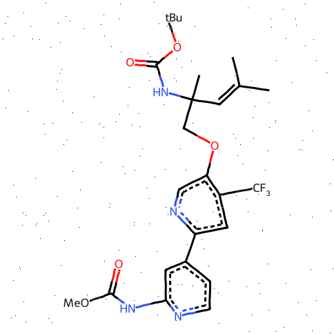 COC(=O)Nc1cc(-c2cc(C(F)(F)F)c(OCC(C)(C=C(C)C)NC(=O)OC(C)(C)C)cn2)ccn1